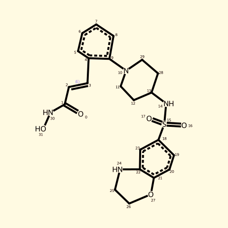 O=C(/C=C/c1ccccc1N1CCC(NS(=O)(=O)c2ccc3c(c2)NCCO3)CC1)NO